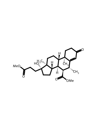 COC(=O)CC[C@]1(O)CC[C@H]2[C@@H]3[C@H](C(=O)OC)[C@@H](C)C4=CC(=O)CC[C@]4(C)[C@H]3CC[C@@]21C